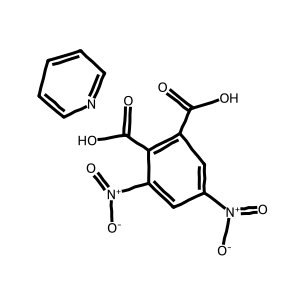 O=C(O)c1cc([N+](=O)[O-])cc([N+](=O)[O-])c1C(=O)O.c1ccncc1